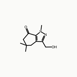 Cn1nc(CO)c2c1C(=O)CC(C)(C)C2